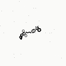 O=C1C2C(C(=O)N1CCCCN1CCN(c3nsc4ccccc34)CC1)C1C3CC4C(C32)C41